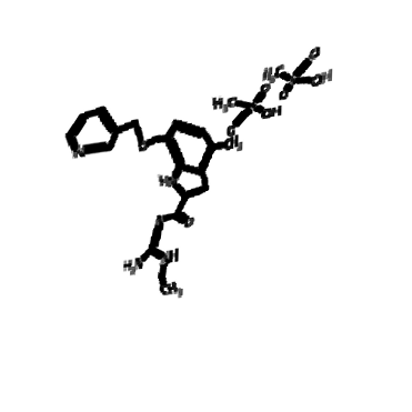 CNC(N)=NC(=O)c1cc2c(C)ccc(OCc3cccnc3)c2[nH]1.CS(=O)(=O)O.CS(=O)(=O)O